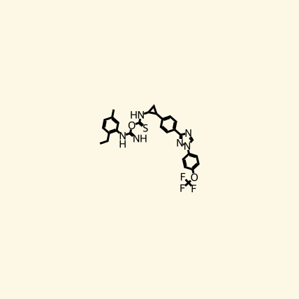 CCc1ccc(C)cc1NC(=N)OC(=S)NC1CC1c1ccc(-c2ncn(-c3ccc(OC(F)(F)F)cc3)n2)cc1